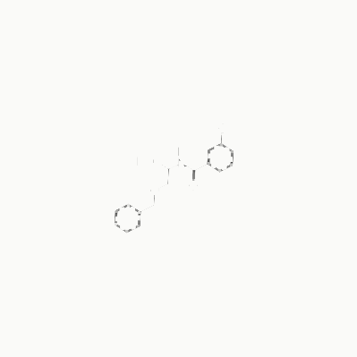 Cc1cccc(C(=O)NC(C)COCc2ccccc2)c1